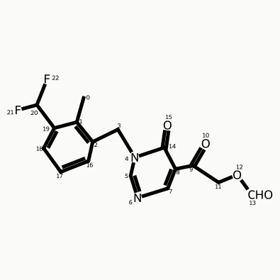 Cc1c(Cn2cncc(C(=O)COC=O)c2=O)cccc1C(F)F